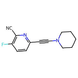 N#Cc1nc(C#CN2CCCCC2)ccc1F